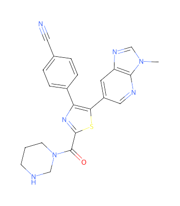 Cn1cnc2cc(-c3sc(C(=O)N4CCCNC4)nc3-c3ccc(C#N)cc3)cnc21